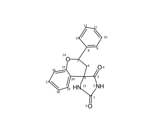 O=C1NC(=O)C2(CC(c3ccccc3)Oc3ccccc32)N1